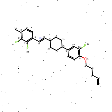 C=CCCCOc1ccc(C2CCC(/C=C/c3ccc(C)c(F)c3F)CC2)cc1F